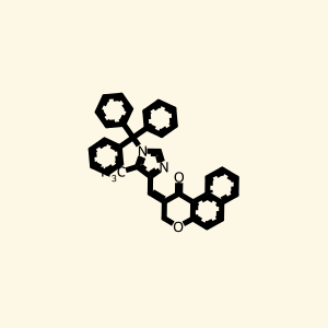 Cc1c(C=C2COc3ccc4ccccc4c3C2=O)ncn1C(c1ccccc1)(c1ccccc1)c1ccccc1